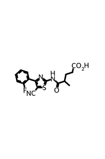 CC(CCC(=O)O)C(=O)Nc1nc(-c2ccccc2F)c(C#N)s1